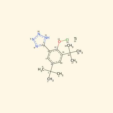 CC(C)(C)c1cc(-c2nnn[nH]2)c(OCl)c(C(C)(C)C)c1.[Ti]